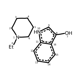 CCN1CCCCC1.Oc1c[nH]c2ccccc12